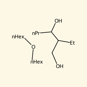 CCCC(O)C(CC)CO.CCCCCCOCCCCCC